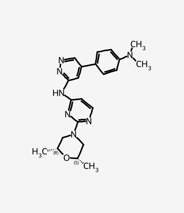 C[C@@H]1CN(c2nccc(Nc3cc(-c4ccc(N(C)C)cc4)cnn3)n2)C[C@H](C)O1